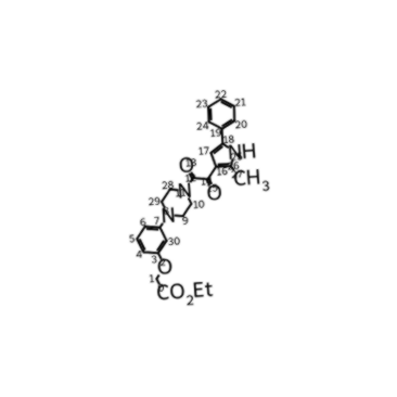 CCOC(=O)COc1cccc(N2CCN(C(=O)C(=O)c3cc(-c4ccccc4)[nH]c3C)CC2)c1